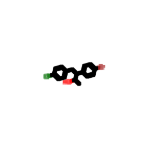 CC(O)C(Cc1ccc(Cl)cc1)c1ccc(Br)cc1